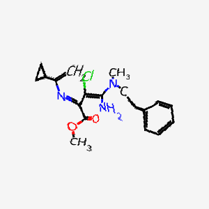 C=C(/N=C(C(=O)OC)\C(Cl)=C(/N)N(C)CCc1ccccc1)C1CC1